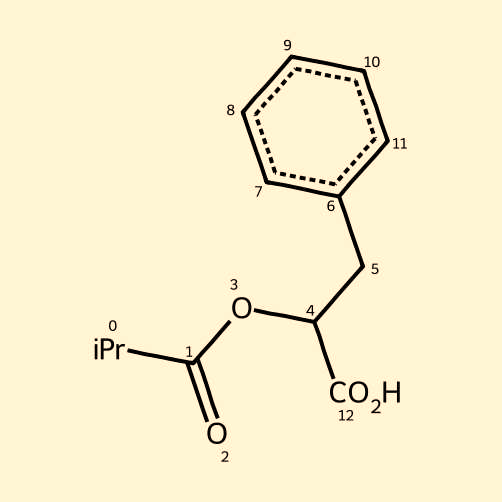 CC(C)C(=O)OC(Cc1ccccc1)C(=O)O